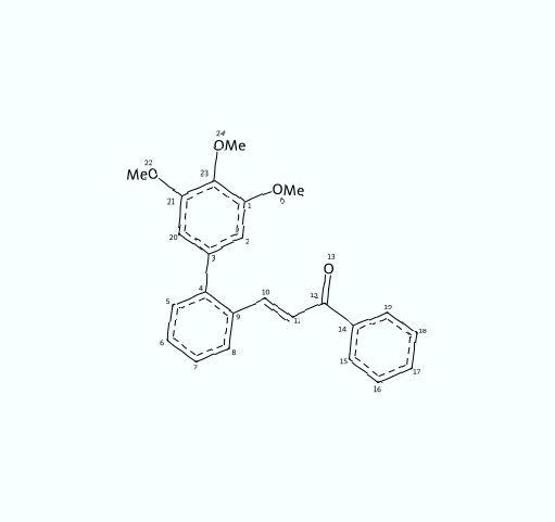 COc1cc(-c2ccccc2C=CC(=O)c2ccccc2)cc(OC)c1OC